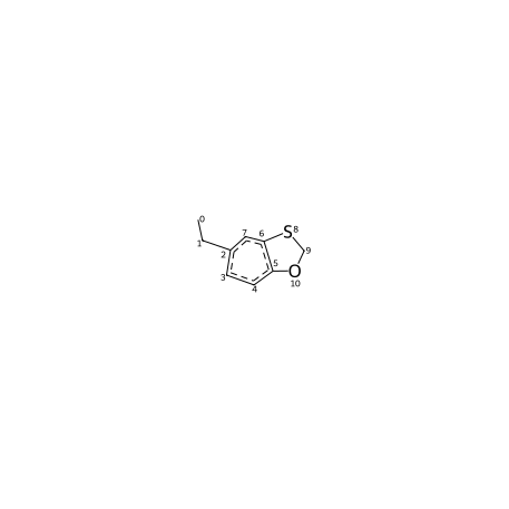 CCc1ccc2c(c1)SCO2